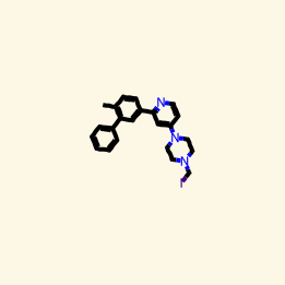 Cc1ccc(-c2cc(N3CCN(CI)CC3)ccn2)cc1-c1ccccc1